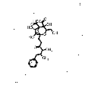 CC(Cc1ccccc1)C(O)C(=O)CCC12OC(CO)C(O)(C(=O)O)C(C(=O)O)(O1)C(O)C2O